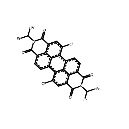 CCCC(CC)N1C(=O)c2ccc3c4c(Cl)cc5c6c(ccc(c7c(Cl)cc(c2c37)C1=O)c64)C(=O)N(C(CC)CCC)C5=O